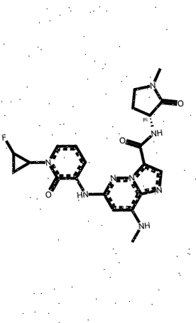 CNc1cc(Nc2cccn(C3CC3F)c2=O)nn2c(C(=O)N[C@@H]3CCN(C)C3=O)cnc12